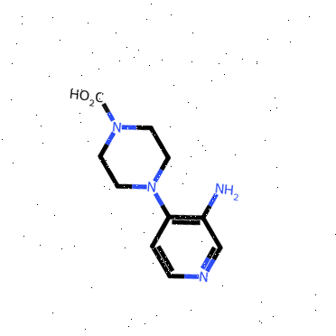 Nc1cnccc1N1CCN(C(=O)O)CC1